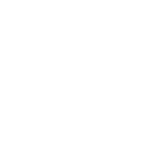 COc1ccc(/C=C(\C#N)c2cc(OC)cc(OC)c2)cc1